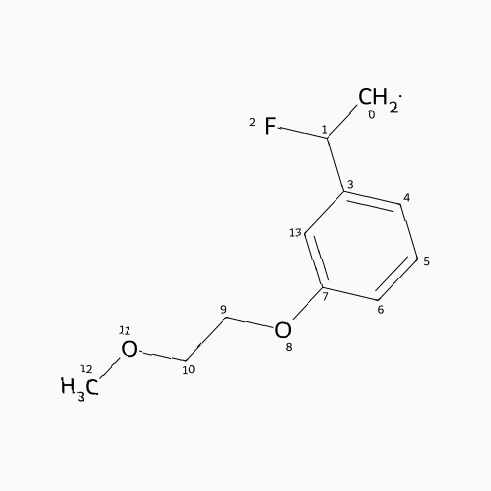 [CH2]C(F)c1cccc(OCCOC)c1